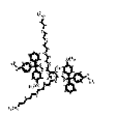 COCCOCCOCCOCCO[C@@H](COC(c1ccccc1)(c1ccc(OC)cc1)c1ccc(OC)cc1)[C@H](O)[C@@H](O)[C@H](COC(c1ccccc1)(c1ccc(OC)cc1)c1ccc(OC)cc1)OCCOCCOCCOCCOC